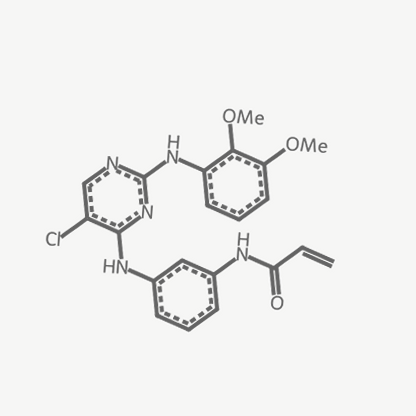 C=CC(=O)Nc1cccc(Nc2nc(Nc3cccc(OC)c3OC)ncc2Cl)c1